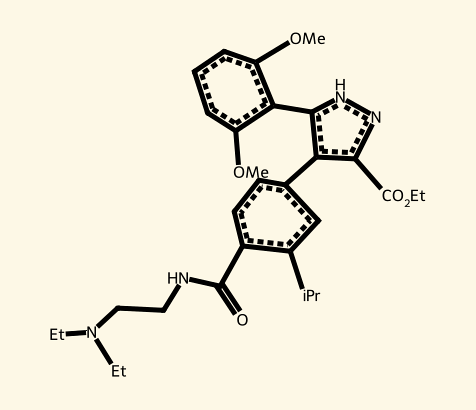 CCOC(=O)c1n[nH]c(-c2c(OC)cccc2OC)c1-c1ccc(C(=O)NCCN(CC)CC)c(C(C)C)c1